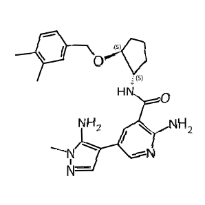 Cc1ccc(CO[C@H]2CCC[C@@H]2NC(=O)c2cc(-c3cnn(C)c3N)cnc2N)cc1C